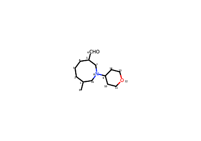 CC1CCCC(C=O)CN(C2CCOCC2)C1